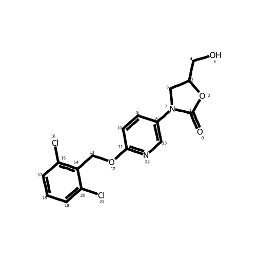 O=C1OC(CO)CN1c1ccc(OCc2c(Cl)cccc2Cl)nc1